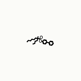 CCCCCCC(C)(CCCC)C(=O)Oc1ccc(-c2ccccc2)cc1